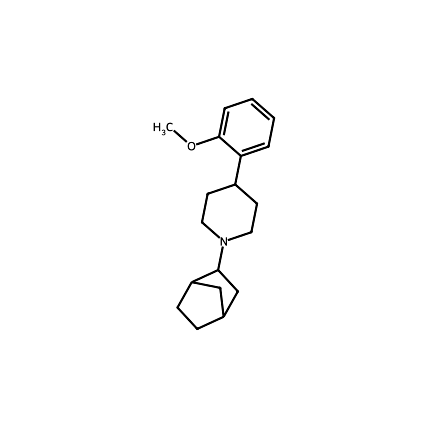 COc1ccccc1C1CCN(C2CC3CCC2C3)CC1